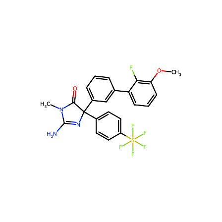 COc1cccc(-c2cccc(C3(c4ccc(S(F)(F)(F)(F)F)cc4)N=C(N)N(C)C3=O)c2)c1F